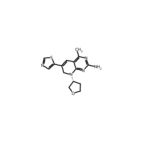 Cc1nc(N)nc2c1C=C(c1cncs1)CN2[C@@H]1CCOC1